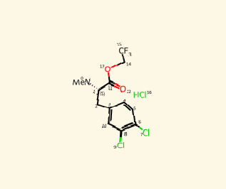 CN[C@@H](Cc1ccc(Cl)c(Cl)c1)C(=O)OCC(F)(F)F.Cl